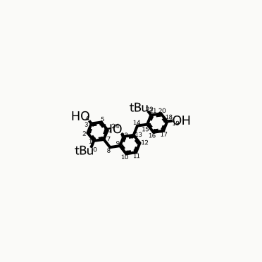 CC(C)(C)c1cc(O)ccc1Cc1cccc(Cc2ccc(O)cc2C(C)(C)C)c1O